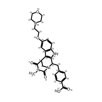 CN1C(=O)C2CN(C1=O)C(Cc1ccc(C(=O)O)cc1)c1[nH]c3ccc(OCCN4CCOCC4)cc3c12